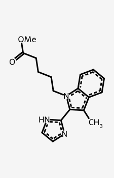 COC(=O)CCCCn1c(-c2ncc[nH]2)c(C)c2ccccc21